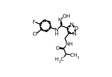 CC(C)C(=O)NCc1nonc1/C(=N\O)Nc1ccc(F)c(Cl)c1